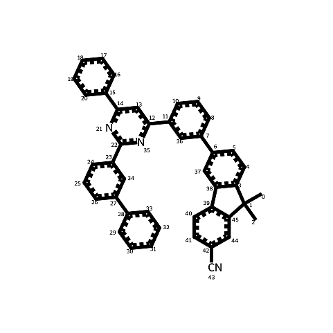 CC1(C)c2ccc(-c3cccc(-c4cc(-c5ccccc5)nc(-c5cccc(-c6ccccc6)c5)n4)c3)cc2-c2ccc(C#N)cc21